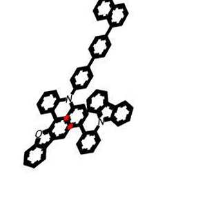 c1ccc(N(c2ccc(-c3ccc(-c4cccc5ccccc45)cc3)cc2)c2ccc(-c3ccccc3-n3c4ccccc4c4ccccc43)cc2)c(-c2cccc3c2oc2ccccc23)c1